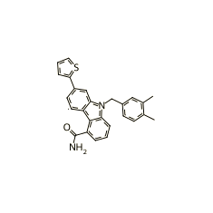 Cc1ccc(Cn2c3cc(-c4cccs4)c[c]c3c3c(C(N)=O)cccc32)cc1C